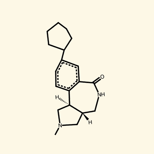 CN1C[C@H]2CNC(=O)c3cc(C4CCCCC4)ccc3[C@@H]2C1